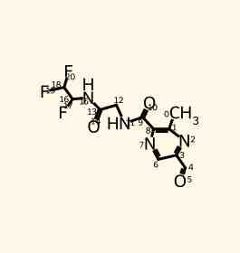 Cc1nc(C=O)cnc1C(=O)NCC(=O)NC(F)C(F)F